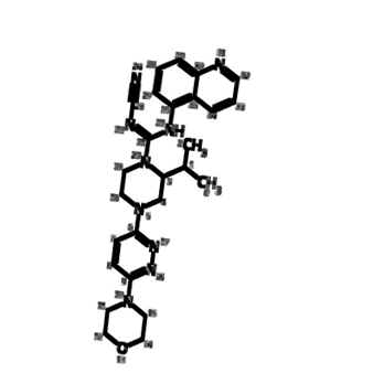 CC(C)C1CN(c2ccc(N3CCOCC3)nn2)CCN1/C(=N/C#N)Nc1cccc2ncccc12